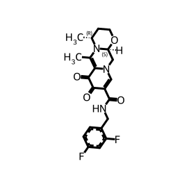 CC1=C2C(=O)C(=O)C(C(=O)NCc3ccc(F)cc3F)=CN2C[C@@H]2OCC[C@@H](C)N12